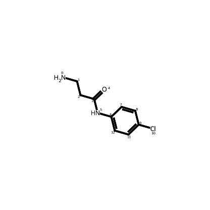 NCCC(=O)Nc1ccc(Cl)cc1